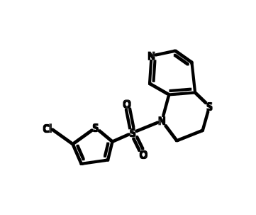 O=S(=O)(c1ccc(Cl)s1)N1CCSc2ccncc21